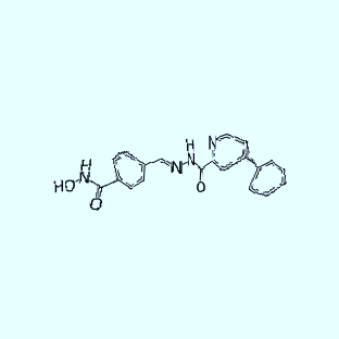 O=C(NO)c1ccc(/C=N/NC(=O)c2cc(-c3ccccc3)ccn2)cc1